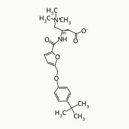 CC(C)(C)c1ccc(OCc2ccc(C(=O)N[C@H](CC(=O)[O-])C[N+](C)(C)C)o2)cc1